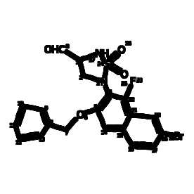 O=CC1CN(c2c(OCc3ccccc3)cc3ccc(Br)cc3c2F)S(=O)(=O)N1